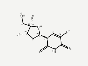 O=c1[nH]c(=O)n([C@H]2C[C@H](F)[C@@](F)(CO)O2)cc1F